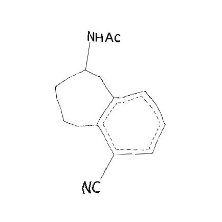 CC(=O)NC1CCc2c(C#N)cccc21